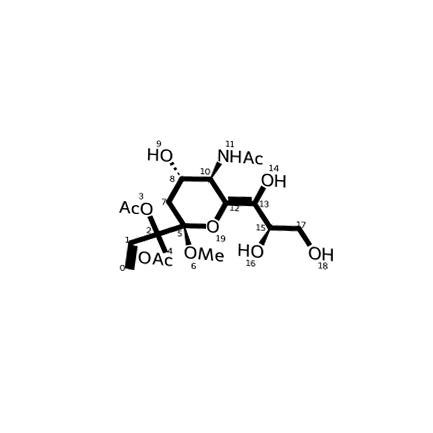 C=CC(OC(C)=O)(OC(C)=O)[C@]1(OC)C[C@H](O)[C@@H](NC(C)=O)C(=C(O)[C@H](O)CO)O1